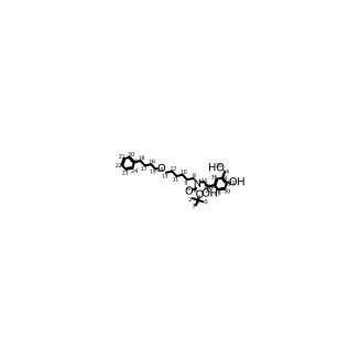 CC(C)(C)OC(=O)N(CCCCCCOCCCCc1ccccc1)C[C@@H](O)c1ccc(O)c(CO)c1